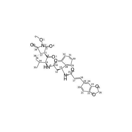 CON1C(=O)[C@@H](C(=O)[C@@H](NC(=O)C[C@H](NC(=O)/C=C/c2ccc3c(c2)OCO3)c2ccccc2)C(C)C)[C@H](C)C1=O